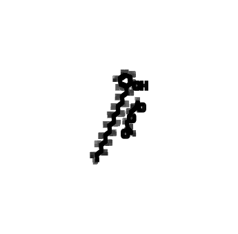 C(OCC1CO1)C1CO1.CCCCCCCCCCCCCCCc1ccccc1O